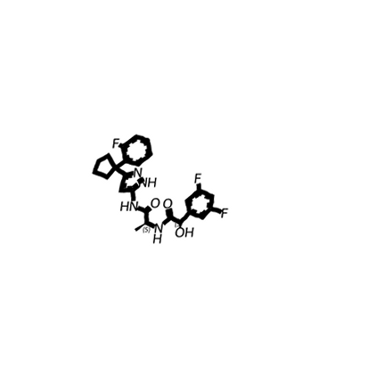 C[C@H](NC(=O)[C@@H](O)c1cc(F)cc(F)c1)C(=O)Nc1cc(C2(c3ccccc3F)CCCC2)n[nH]1